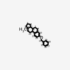 C[C@@]12CCCC1C1CCc3cc(OCc4ccccc4)ccc3C1CC2